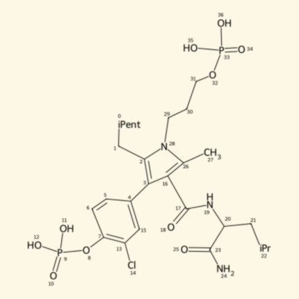 CCCC(C)Cc1c(-c2ccc(OP(=O)(O)O)c(Cl)c2)c(C(=O)NC(CC(C)C)C(N)=O)c(C)n1CCCOP(=O)(O)O